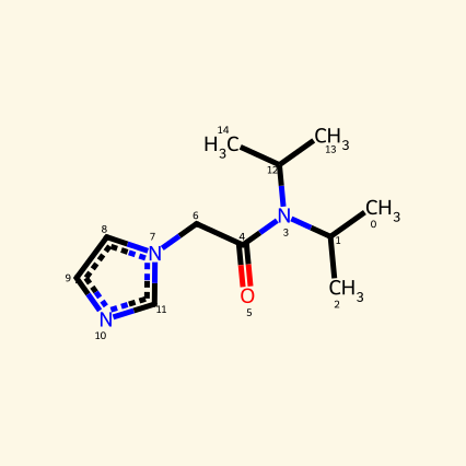 CC(C)N(C(=O)Cn1c[c]nc1)C(C)C